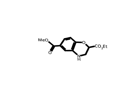 CCOC(=O)C1CNc2cc(C(=O)OC)ccc2O1